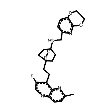 Cc1ccc2ncc(F)c(CCC34CCC(NCc5ccc6c(n5)OCCO6)(CC3)CO4)c2n1